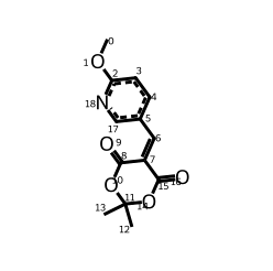 COc1ccc(C=C2C(=O)OC(C)(C)OC2=O)cn1